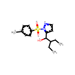 CCC(CC)C(O)c1ccnn1S(=O)(=O)c1ccc(C)cc1